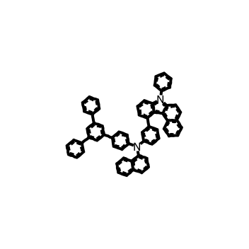 c1ccc(-c2cc(-c3ccccc3)cc(-c3ccc(N(c4cccc(-c5cccc6c5c5c7ccccc7ccc5n6-c5ccccc5)c4)c4cccc5ccccc45)cc3)c2)cc1